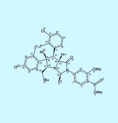 CC[C@@H]1N(c2ccc(C(=O)OC)c(OC)c2)C(=O)[C@H]2[C@H](c3cccc(Cl)c3F)[C@@](C#N)(c3ccc(Cl)cc3F)[C@H](CC(C)(C)C)N12